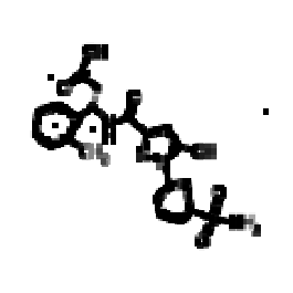 Cc1ccccc1[C@H](CC(=O)O)NC(=O)c1cc(O)n(-c2cccc(S(N)(=O)=O)c2)n1